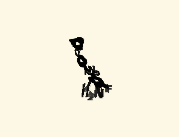 Nc1ccc(-c2nc(-c3ccc(Oc4ccccc4)cc3)no2)cc1F